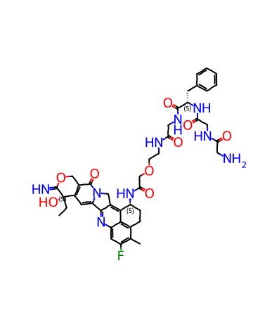 CC[C@@]1(O)C(=N)OCc2c1cc1n(c2=O)Cc2c-1nc1cc(F)c(C)c3c1c2[C@@H](NC(=O)COCCNC(=O)CNC(=O)[C@H](Cc1ccccc1)NC(=O)CNC(=O)CN)CC3